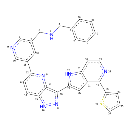 c1ccc(CNCc2cncc(-c3ccc4[nH]nc(-c5cc6c(-c7cccs7)nccc6[nH]5)c4n3)c2)cc1